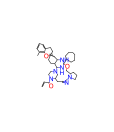 C=CC(=O)N1CCN(C2NC(OCC3CCCN3C)(C3CCCCCC3)NC3C[C@@]4(CCc5cccc(C)c5O4)CCC32)CC1CC#N